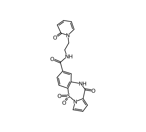 O=C(NCCn1ccccc1=O)c1ccc2c(c1)NC(=O)c1cccn1S2(=O)=O